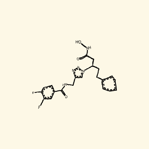 O=C(C[C@@H](CCc1ccccc1)n1cc(CNC(=O)c2ccc(F)c(F)c2)nn1)NO